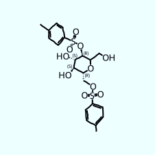 Cc1ccc(S(=O)(=O)OC[C@H]2OC(CO)[C@H](OS(=O)(=O)c3ccc(C)cc3)[C@@H](O)[C@@H]2O)cc1